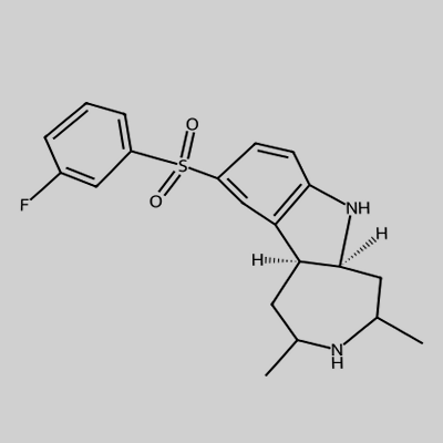 CC1C[C@@H]2Nc3ccc(S(=O)(=O)c4cccc(F)c4)cc3[C@@H]2CC(C)N1